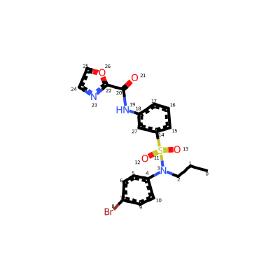 CCCN(c1ccc(Br)cc1)S(=O)(=O)c1cccc(NC(=O)c2ncco2)c1